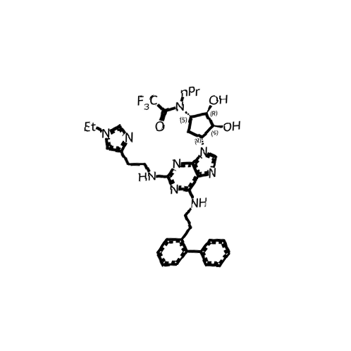 CCCN(C(=O)C(F)(F)F)[C@H]1C[C@@H](n2cnc3c(NCCc4ccccc4-c4ccccc4)nc(NCCc4cn(CC)cn4)nc32)[C@H](O)[C@@H]1O